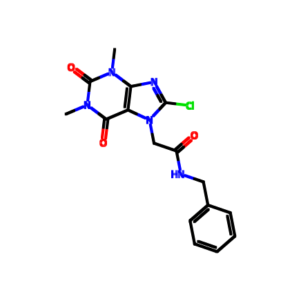 Cn1c(=O)c2c(nc(Cl)n2CC(=O)NCc2ccccc2)n(C)c1=O